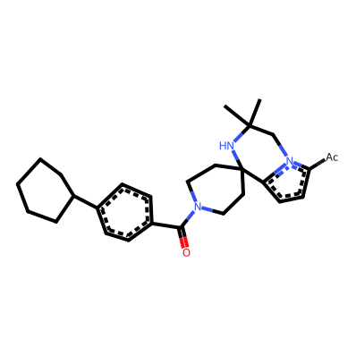 CC(=O)c1ccc2n1CC(C)(C)NC21CCN(C(=O)c2ccc(C3CCCCC3)cc2)CC1